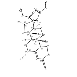 CCC(=O)O[C@]1(C(=O)CCl)[C@@H](C)C[C@H]2[C@@H]3C[C@@H](F)C4=CC(=O)CC[C@]4(C)[C@H]3CC[C@@]21C